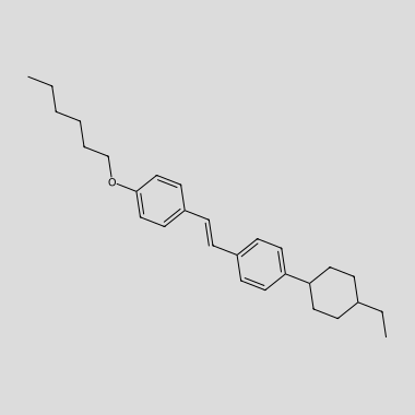 CCCCCCOc1ccc(C=Cc2ccc(C3CCC(CC)CC3)cc2)cc1